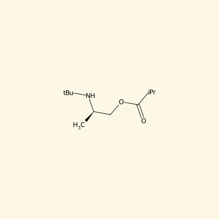 CC(C)C(=O)OC[C@@H](C)NC(C)(C)C